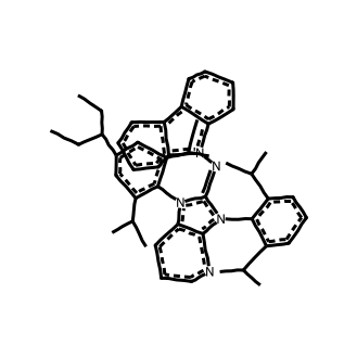 CCC(CC)c1cc(C(C)C)c(-n2/c(=N\n3c4ccccc4c4ccccc43)n(-c3c(C(C)C)cccc3C(C)C)c3ncccc32)c(C(C)C)c1